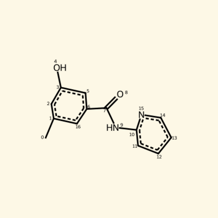 Cc1cc(O)cc(C(=O)Nc2ccccn2)c1